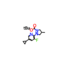 CC1CN(C(=O)OC(C)(C)C)N(c2ncc(C3CC3)cc2F)C1